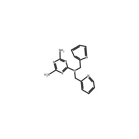 Nc1nc(N)nc(N(Cc2ccccn2)Cc2ccccn2)n1